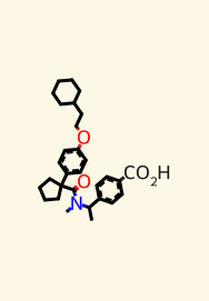 CC(c1ccc(C(=O)O)cc1)N(C)C(=O)C1(c2ccc(OCCC3CCCCC3)cc2)CCCC1